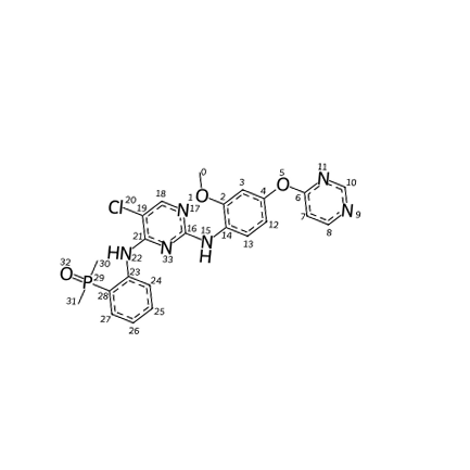 COc1cc(Oc2ccncn2)ccc1Nc1ncc(Cl)c(Nc2ccccc2P(C)(C)=O)n1